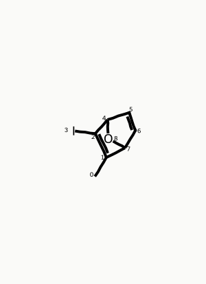 CC1=C(I)C2C=CC1O2